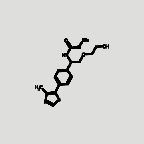 Cc1ncsc1-c1ccc(C(COCCO)NC(=O)OC(C)(C)C)cc1